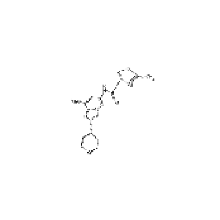 COc1cc(NC(=O)c2csc(C)n2)cn2cc(C3CCOCC3)nc12